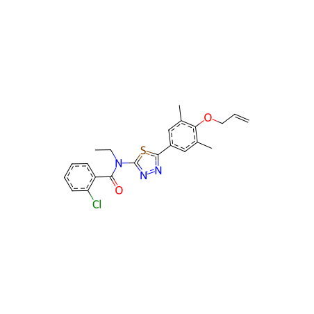 C=CCOc1c(C)cc(-c2nnc(N(CC)C(=O)c3ccccc3Cl)s2)cc1C